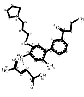 CCCC(=O)c1cccc(-c2cc(OCCCN3CCCC3)c(C)cc2C)c1.O=C(O)C=CC(=O)O